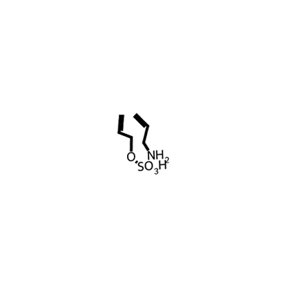 C=CCN.C=CCOS(=O)(=O)O